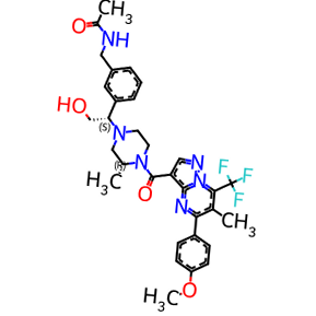 COc1ccc(-c2nc3c(C(=O)N4CCN([C@H](CO)c5cccc(CNC(C)=O)c5)C[C@H]4C)cnn3c(C(F)(F)F)c2C)cc1